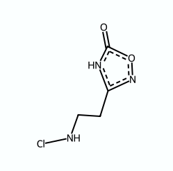 O=c1[nH]c(CCNCl)no1